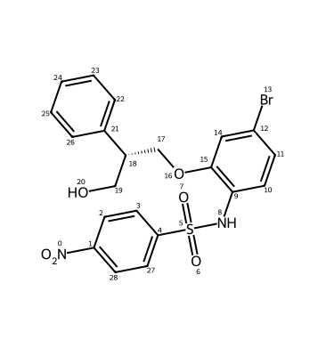 O=[N+]([O-])c1ccc(S(=O)(=O)Nc2ccc(Br)cc2OC[C@H](CO)c2ccccc2)cc1